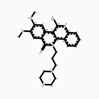 COc1cc2c(=O)n(CCCN3CCOCC3)c3c4ccccc4nc(Cl)c3c2cc1OC